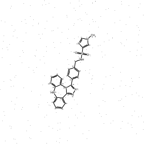 Cn1cnc(S(=O)(=O)NCc2ccc(-c3nnc4n3-c3cccnc3Nc3ccccc3-4)cc2)c1